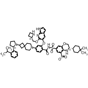 CC(C)c1ccccc1[C@H]1CCCN1C1CC2(CCN(c3ccc(C(=O)NS(=O)(=O)c4cc5c(c([N+](=O)[O-])c4)N[C@@H](C4CCC(C)(C)CC4)CO5)c(Oc4cc5cc[nH]c5nc4OC[C@H]4CCN4)c3)CC2)C1